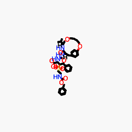 CC(C)[C@H]1COCCCCOc2ccc(cc2)C[C@@H](NC(=O)NC(C(=O)O)C(Cc2ccccc2)S(=O)(=O)CCNC(=O)OCc2ccccc2)C(=O)N1